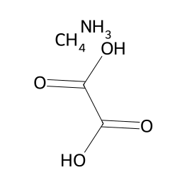 C.N.O=C(O)C(=O)O